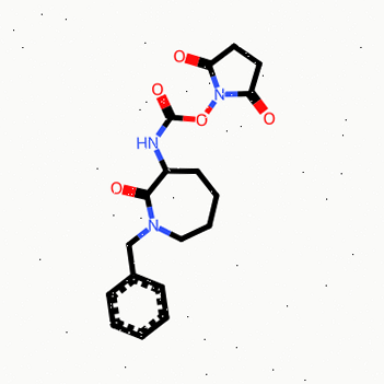 O=C(NC1CCCCN(Cc2ccccc2)C1=O)ON1C(=O)CCC1=O